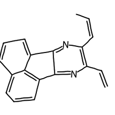 C=Cc1nc2c(nc1/C=C\C)-c1cccc3cccc-2c13